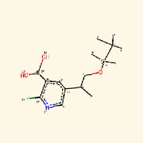 CC(CO[Si](C)(C)C(C)(C)C)c1cnc(F)c(B(O)O)c1